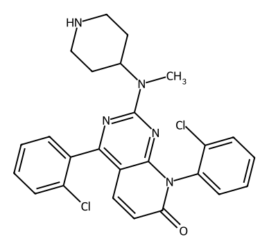 CN(c1nc(-c2ccccc2Cl)c2ccc(=O)n(-c3ccccc3Cl)c2n1)C1CCNCC1